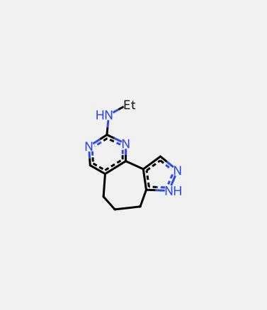 CCNc1ncc2c(n1)-c1cn[nH]c1CCC2